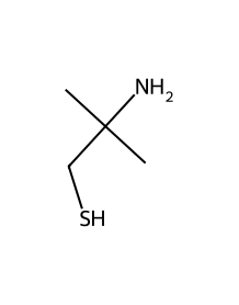 CC(C)(N)CS